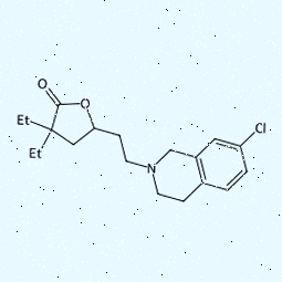 CCC1(CC)CC(CCN2CCc3ccc(Cl)cc3C2)OC1=O